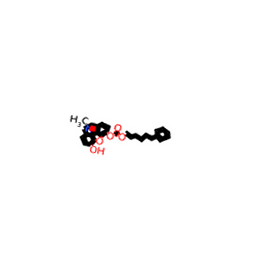 CN1CCC23c4c5ccc(OC(=O)OCCCCCCc6ccccc6)c4OC2C(O)C=CC3C1C5